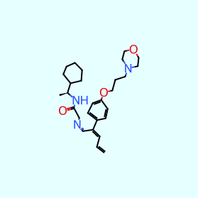 C=C/C=C(\C=N/CC(=O)N[C@@H](C)C1CCCCC1)c1ccc(OCCCN2CCOCC2)cc1